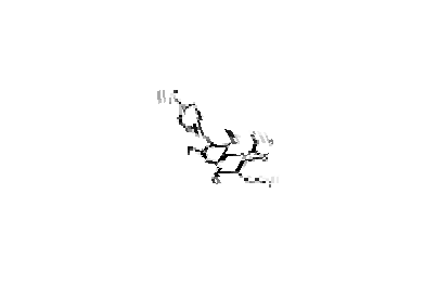 CC1Sc2c(C(=O)O)c(=O)c3cc(F)c(N4CCN(C)CC4)c(Br)c3n21